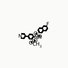 CS(=O)(=O)c1cc(-c2ccncc2)ccc1NS(=O)(=O)c1ccc2cc(F)ccc2c1